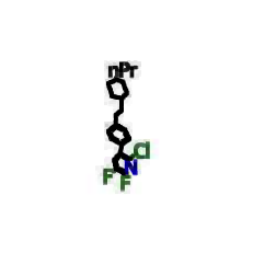 CCCC1CCC(CCc2ccc(-c3cc(F)c(F)nc3Cl)cc2)CC1